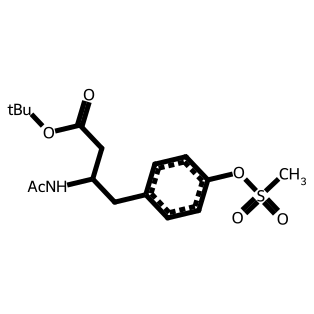 CC(=O)NC(CC(=O)OC(C)(C)C)Cc1ccc(OS(C)(=O)=O)cc1